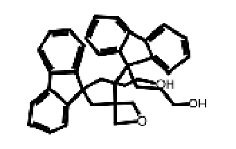 OCCCC1(CC2(CC3(CCCO)c4ccccc4-c4ccccc43)COC2)c2ccccc2-c2ccccc21